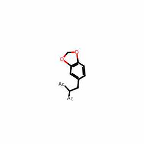 CC(=O)C(Cc1ccc2c(c1)OCO2)C(C)=O